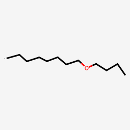 [CH2]CCCCCCCOCCCC